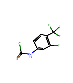 Fc1cc(NC(=S)Cl)ccc1C(F)(F)F